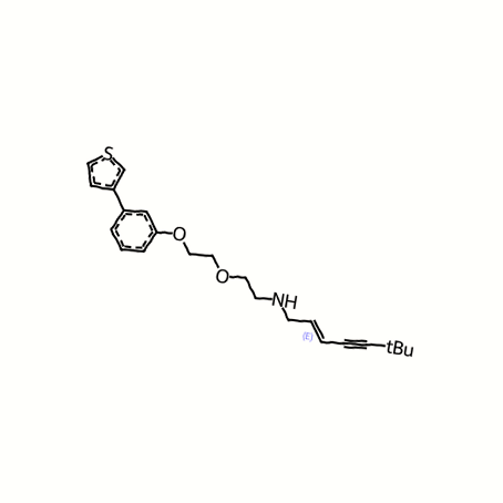 CC(C)(C)C#C/C=C/CNCCOCCOc1cccc(-c2ccsc2)c1